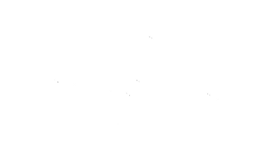 COc1cc(N=Nc2ccc(N)cc2C#N)c(C)cc1N